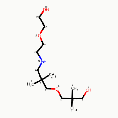 CC(C)(CO)COCC(C)(C)CNCCOCCO